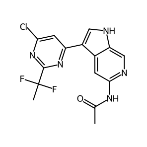 CC(=O)Nc1cc2c(-c3cc(Cl)nc(C(C)(F)F)n3)c[nH]c2cn1